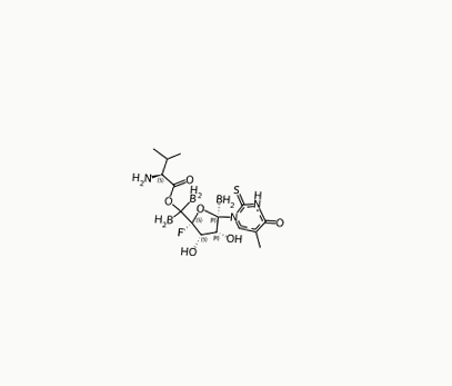 BC(B)(OC(=O)[C@@H](N)C(C)C)[C@@]1(F)O[C@@](B)(n2cc(C)c(=O)[nH]c2=S)[C@H](O)[C@@H]1O